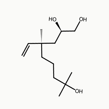 C=C[C@](C)(CCCC(C)(C)O)C[C@@H](O)CO